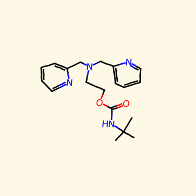 CC(C)(C)NC(=O)OCCN(Cc1ccccn1)Cc1ccccn1